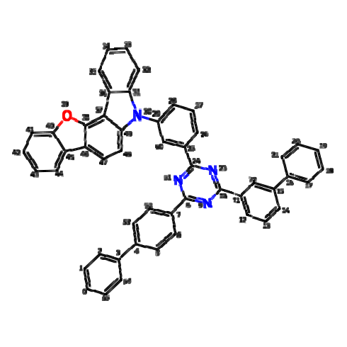 c1ccc(-c2ccc(-c3nc(-c4cccc(-c5ccccc5)c4)nc(-c4cccc(-n5c6ccccc6c6c7oc8ccccc8c7ccc65)c4)n3)cc2)cc1